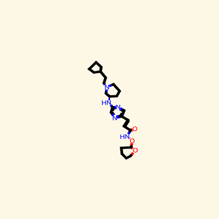 O=C(/C=C/c1cnc(N[C@@H]2CCCN(CCC3CCCC3)C2)cn1)NOC1CCCCO1